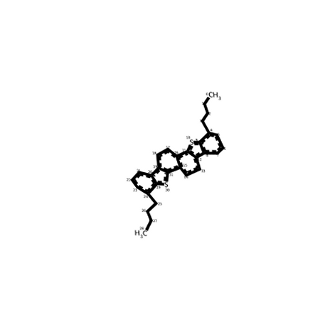 CCCCc1cccc2c1sc1c2ccc2c1ccc1c3cccc(CCCC)c3sc12